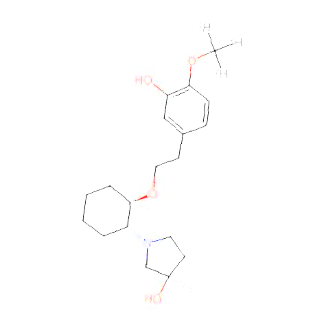 [2H]C([2H])([2H])Oc1ccc(CCO[C@@H]2CCCC[C@H]2N2CC[C@@]([2H])(O)C2)cc1O